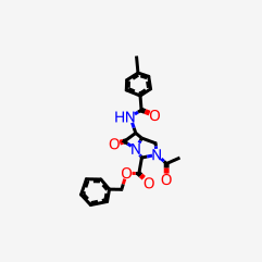 CC(=O)N1CC2C(NC(=O)c3ccc(C)cc3)C(=O)N2C1C(=O)OCc1ccccc1